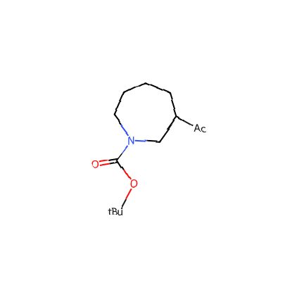 CC(=O)C1CCCCN(C(=O)OC(C)(C)C)C1